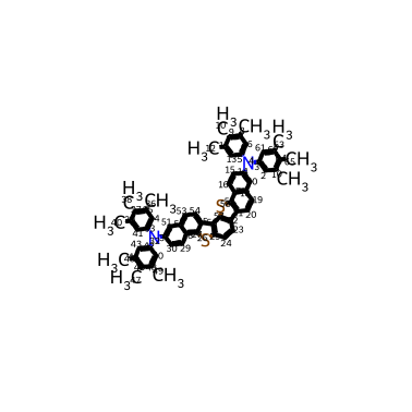 Cc1cc(N(c2cc(C)c(C)c(C)c2)c2ccc3c(ccc4c5ccc6sc7c8ccc(N(c9cc(C)c(C)c(C)c9)c9cc(C)c(C)c(C)c9)cc8ccc7c6c5sc34)c2)cc(C)c1C